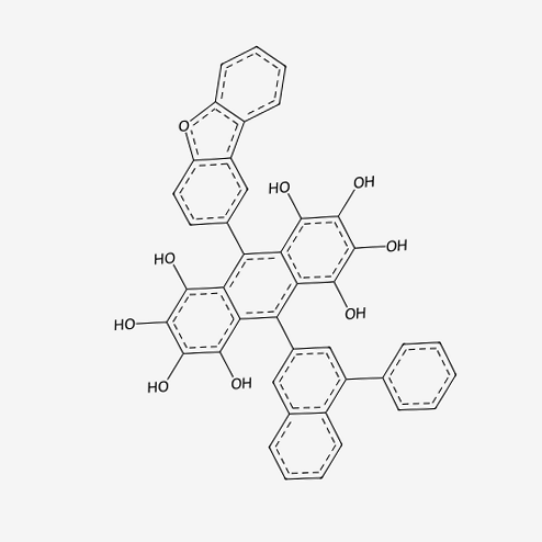 Oc1c(O)c(O)c2c(-c3ccc4oc5ccccc5c4c3)c3c(O)c(O)c(O)c(O)c3c(-c3cc(-c4ccccc4)c4ccccc4c3)c2c1O